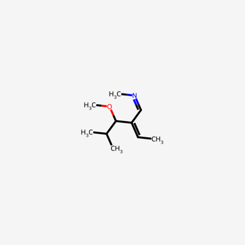 C/C=C(\C=N/C)C(OC)C(C)C